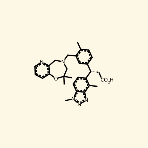 Cc1ccc([C@H](CC(=O)O)c2ccc3c(nnn3C)c2C)cc1CN1Cc2ncccc2OC(C)(C)C1